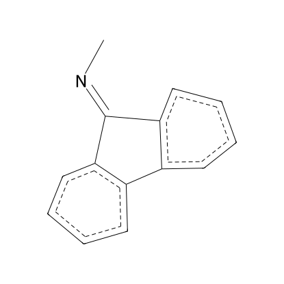 CN=C1c2ccccc2-c2ccccc21